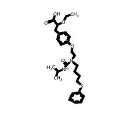 CCOC(Cc1ccc(OCCN(CCCCSc2ccccc2)C(=O)NC(C)C)cc1)C(=O)O